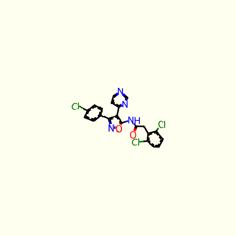 O=C(Cc1c(Cl)cccc1Cl)Nc1onc(-c2ccc(Cl)cc2)c1-c1ccncn1